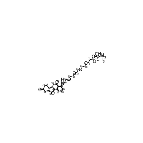 CC(C)(C)OC(=O)CCOCCOCCOCCOCCNc1cccc2c1C(=O)CC(C1CCC(=O)CC1=O)C2=O